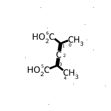 CC(=C=C(C)C(=O)O)C(=O)O